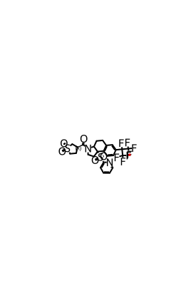 O=C([C@H]1CCS(=O)(=O)C1)N1CCC2(S(=O)(=O)c3ccccn3)c3ccc(C(F)(C(F)(F)F)C(F)(F)F)cc3CCC12